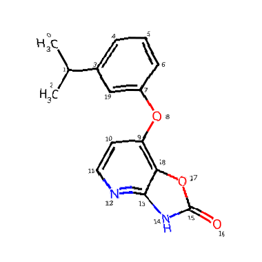 CC(C)c1cccc(Oc2ccnc3[nH]c(=O)oc23)c1